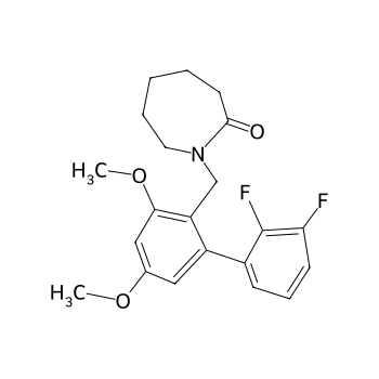 COc1cc(OC)c(CN2CCCCCC2=O)c(-c2cccc(F)c2F)c1